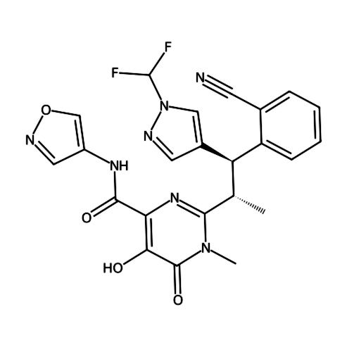 C[C@H](c1nc(C(=O)Nc2cnoc2)c(O)c(=O)n1C)[C@@H](c1cnn(C(F)F)c1)c1ccccc1C#N